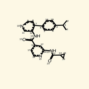 CC(C)c1ccc(-c2ccncc2NC(=O)c2ccnc(NC(=O)C3CC3)c2)cc1